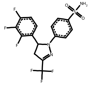 NS(=O)(=O)c1ccc(N2N=C(C(F)(F)F)CC2c2ccc(F)c(F)c2F)cc1